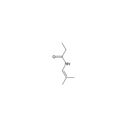 CCC(=O)NC=C(C)C